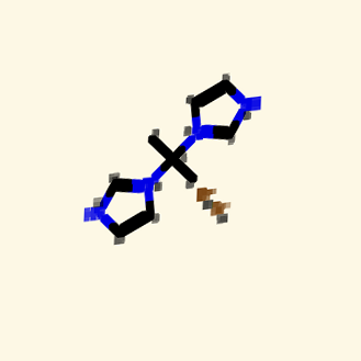 CC(C)([n+]1cc[nH]c1)[n+]1cc[nH]c1.[Br-].[Br-]